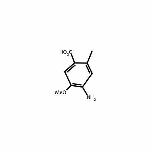 COc1cc(C(=O)O)c(C)cc1N